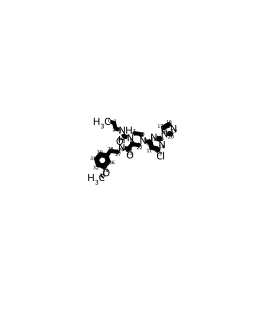 CCCNC(=O)N1CCN(c2cc(Cl)nc(-n3ccnc3)n2)CC1C(=O)NCCc1cccc(OC)c1